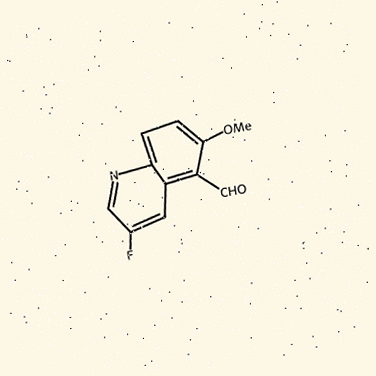 COc1ccc2ncc(F)cc2c1C=O